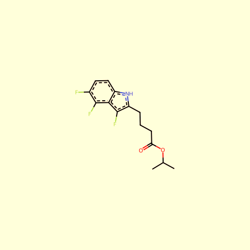 CC(C)OC(=O)CCCc1[nH]c2ccc(F)c(F)c2c1F